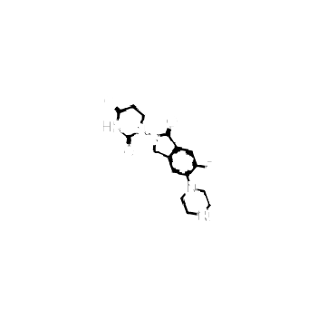 O=C1CCN(N2Cc3cc(N4CCNCC4)c(F)cc3C2=O)C(=O)N1